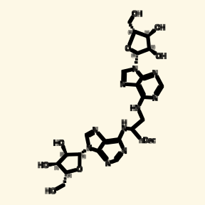 CCCCCCCCCCC(CNc1ncnc2c1ncn2[C@@H]1O[C@H](CO)[C@@H](O)[C@H]1O)Nc1ncnc2c1ncn2[C@@H]1O[C@H](CO)[C@@H](O)[C@H]1O